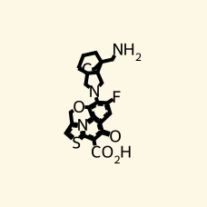 NCC12CCC(CC1)C1CN(c3c(F)cc4c(=O)c(C(=O)O)c5scc6n5c4c3OC6)CC12